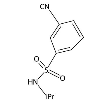 [C-]#[N+]c1cccc(S(=O)(=O)NC(C)C)c1